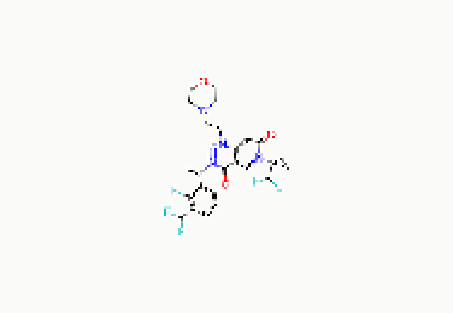 C[C@@H](NC(=O)c1cn(C2(C(F)F)CC2)c(=O)cc1NCCN1CCOCC1)c1cccc(C(F)F)c1F